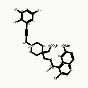 COc1ccc2ncc(Cl)c([C@@H](F)CCC3(CC(=O)O)CCN(CC#Cc4cc(F)cc(F)c4F)CC3)c2c1